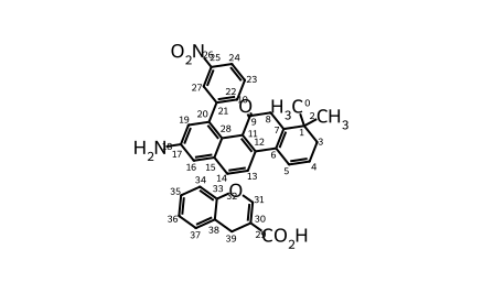 CC1(C)CC=CC2=C1CC(=O)c1c2ccc2cc(N)cc(-c3cccc([N+](=O)[O-])c3)c12.O=C(O)C1=COc2ccccc2C1